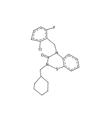 O=C1N(CC2CCCCC2)Sc2ccccc2N1Cc1c(F)cccc1Cl